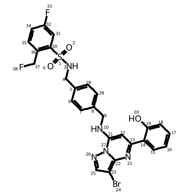 O=S(=O)(NCc1ccc(CNc2cc(-c3ccccc3O)nc3c(Br)cnn23)cc1)c1cc(F)ccc1CF